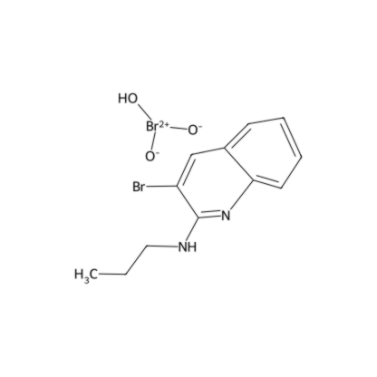 CCCNc1nc2ccccc2cc1Br.[O-][Br+2]([O-])O